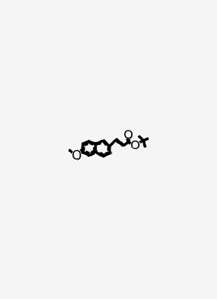 COc1ccc2cc(C=CC(=O)OC(C)(C)C)ccc2c1